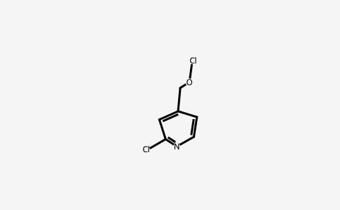 ClOCc1ccnc(Cl)c1